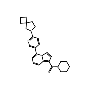 O=C(c1cnn2c(-c3ccc(N4CCC5(CCC5)C4)nc3)cccc12)N1CCCCC1